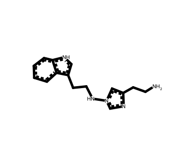 NCCc1cn(NCCc2c[nH]c3ccccc23)cn1